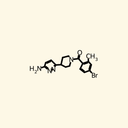 Cc1cc(Br)ccc1C(=O)N1CCC(c2ccc(N)nn2)CC1